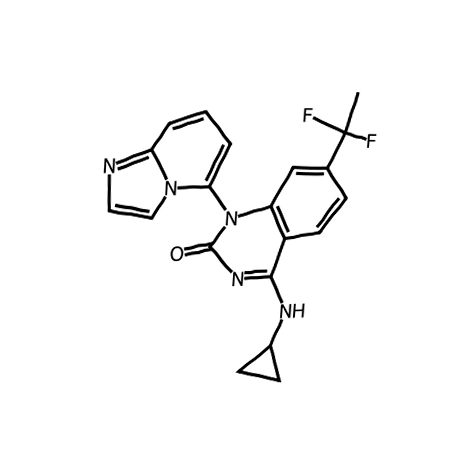 CC(F)(F)c1ccc2c(NC3CC3)nc(=O)n(-c3cccc4nccn34)c2c1